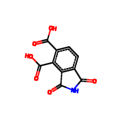 O=C(O)c1ccc2c(c1C(=O)O)C(=O)NC2=O